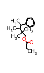 CCC(=O)OCC(C)(C)[C@@H](C)[C@@H](C)c1ccccc1